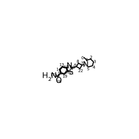 CC1CCCCN1C1CC(c2nc3ccc(C(N)=O)cc3s2)C1